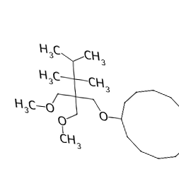 COCC(COC)(COC1CCCCCCCCCCC1)C(C)(C)C(C)C